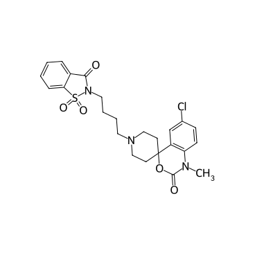 CN1C(=O)OC2(CCN(CCCCN3C(=O)c4ccccc4S3(=O)=O)CC2)c2cc(Cl)ccc21